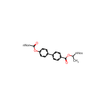 CCCCCCCCCC(=O)Oc1ccc(-c2ccc(C(=O)OC(C)CCCCCC)cc2)cc1